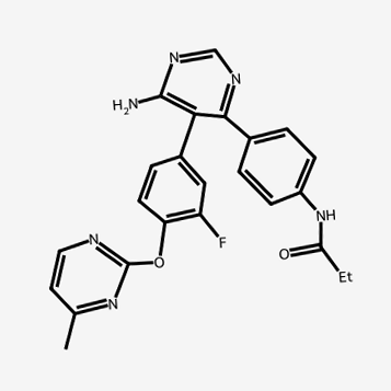 CCC(=O)Nc1ccc(-c2ncnc(N)c2-c2ccc(Oc3nccc(C)n3)c(F)c2)cc1